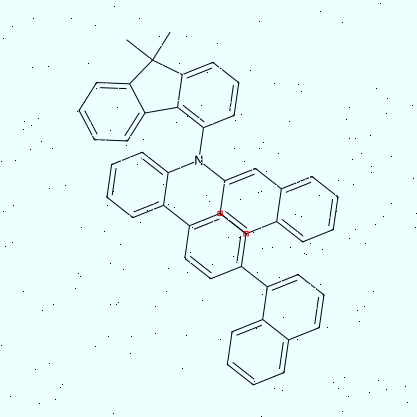 CC1(C)c2ccccc2-c2c(N(c3ccc4ccccc4c3)c3ccccc3-c3ccc(-c4cccc5ccccc45)cc3)cccc21